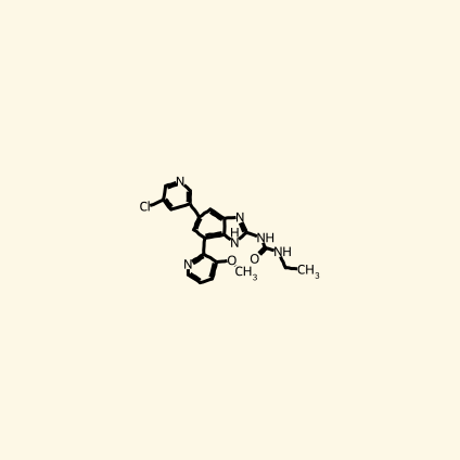 CCNC(=O)Nc1nc2cc(-c3cncc(Cl)c3)cc(-c3ncccc3OC)c2[nH]1